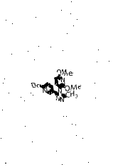 COc1ccc(-n2c(C)nnc2-c2ccc(Br)nc2)c(OC)n1